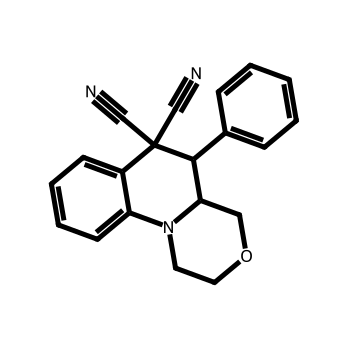 N#CC1(C#N)c2ccccc2N2CCOCC2C1c1ccccc1